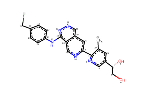 OC[C@@H](O)c1cnc(-c2cc3cnnc(Nc4ccc(CF)cc4)c3cn2)c(C(F)(F)F)c1